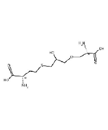 N[C@@H](CCSCC(O)COC[C@H](N)C(=O)O)C(=O)O